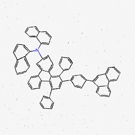 c1ccc(-c2cc(-c3ccc(-c4cc5ccccc5c5ccccc45)cc3)c(-c3ccccc3)c3c4ccc(N(c5cccc6ccccc56)c5cccc6ccccc56)cc4c4ccccc4c23)cc1